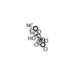 N#Cc1ccc(OC2CN(S(=O)(=O)c3c(Cl)cc(Cl)cc3Cl)C[C@@]2(O)CO)cc1F